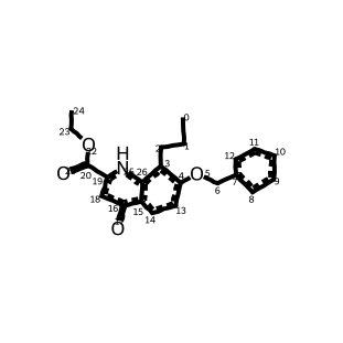 CCCc1c(OCc2ccccc2)ccc2c(=O)cc(C(=O)OCC)[nH]c12